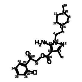 Cc1nn(CCN2CCN(C)CC2)c(N)c1C(=O)OCC(=O)c1ccccc1Cl